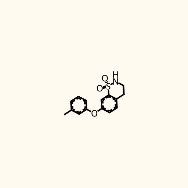 Cc1cccc(Oc2ccc3c(c2)S(=O)(=O)NCC3)c1